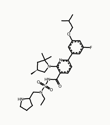 CCN(CC1CCCN1)S(=O)(=O)NC(=O)c1ccc(-c2cc(F)cc(OCC(C)C)c2)nc1N1C[C@@H](C)CC1(C)C